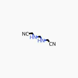 N#CCNCNCC#N